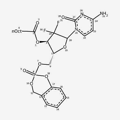 CCCCCCCCC(=O)O[C@@H]1[C@@H](COP2(=O)OCc3ccccc3O2)OC(n2ccc(N)nc2=O)C1(F)F